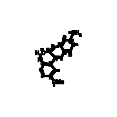 COc1ccc(F)c(-c2cc3nnc(N)nc3cc2C)c1